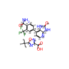 CC(C)(C)c1nc(C(=O)O)no1.NC(=O)c1ccc(-c2ccnc3[nH]c(=O)[nH]c23)cc1C(F)(F)F